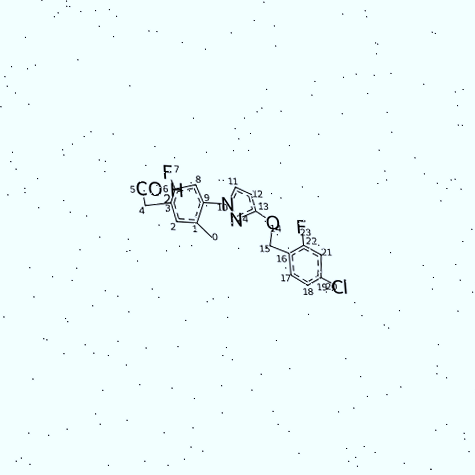 Cc1cc(CC(=O)O)c(F)cc1-n1ccc(OCc2ccc(Cl)cc2F)n1